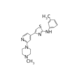 Cc1cccc(Nc2nc(-c3ccnc(N4CCN(C)CC4)c3)cs2)c1